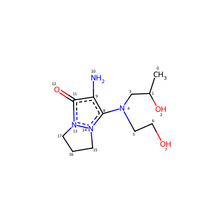 CC(O)CN(CCO)c1c(N)c(=O)n2n1CCC2